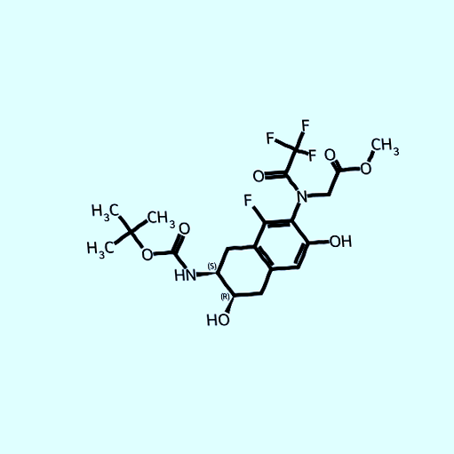 COC(=O)CN(C(=O)C(F)(F)F)c1c(O)cc2c(c1F)C[C@H](NC(=O)OC(C)(C)C)[C@H](O)C2